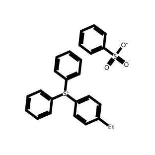 CCc1ccc([S+](c2ccccc2)c2ccccc2)cc1.O=S(=O)([O-])c1ccccc1